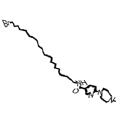 CN1CCN(c2ccc(C(=O)NCCCCCCCCCCCCCCCCCCBr)cn2)CC1